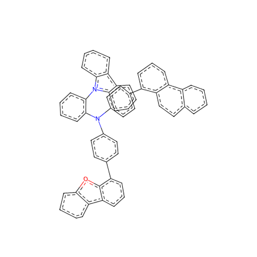 c1ccc(-n2c3ccccc3c3ccccc32)c(N(c2ccc(-c3cccc4c3ccc3ccccc34)cc2)c2ccc(-c3cccc4c3oc3ccccc34)cc2)c1